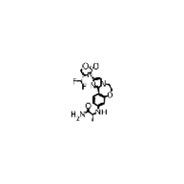 C[C@H](Nc1ccc2c(c1)OCCn1cc(N3[C@H](C(F)F)COS3=O)nc1-2)C(N)=O